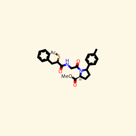 COC(=O)[C@@H]1CCC(c2ccc(C)cc2)N1C(=O)CNC(=O)C(Cc1ccccc1)SC(C)=O